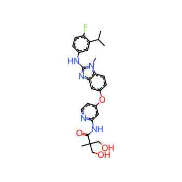 CC(C)c1cc(Nc2nc3cc(Oc4ccnc(NC(=O)C(C)(CO)CO)c4)ccc3n2C)ccc1F